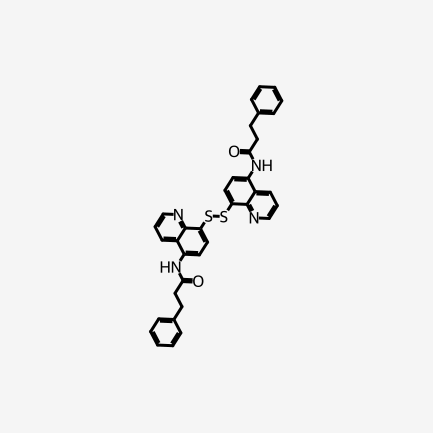 O=C(CCc1ccccc1)Nc1ccc(SSc2ccc(NC(=O)CCc3ccccc3)c3cccnc23)c2ncccc12